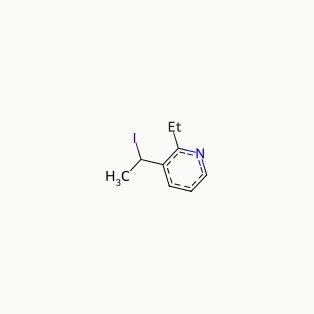 CCc1ncccc1C(C)I